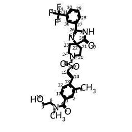 Cc1cc(C(=O)N(C)CCO)ccc1C=CS(=O)(=O)N1CCC2(CC1)N=C(c1cccc(C(F)(F)F)c1)NC2=O